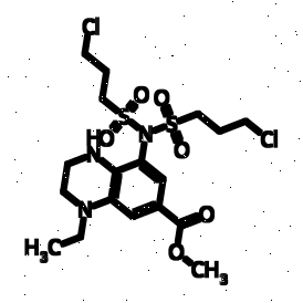 CCN1CCNc2c1cc(C(=O)OC)cc2N(S(=O)(=O)CCCCl)S(=O)(=O)CCCCl